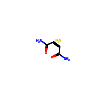 NC(=O)/C=C\C(N)=O.S